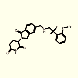 CC(C)Oc1ccccc1C(F)(F)CNCc1ccc2c(c1)CN(C1CCC(=O)NC1=O)C2=O